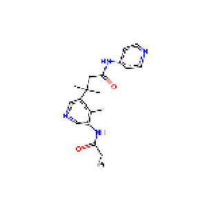 Cc1c(NC(=O)CC(C)C)cncc1C(C)(C)CC(=O)Nc1ccncc1